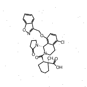 C[C@]1(C(=O)O)CCCC[C@H]1C(=O)N1CCc2c(Cl)ccc(OCc3noc4ccccc34)c2[C@H]1N1CCCC1=O